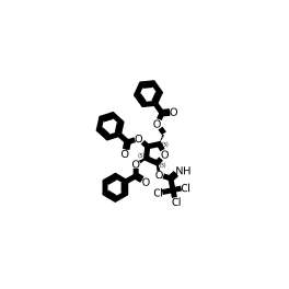 N=C(O[C@@H]1O[C@@H](COC(=O)c2ccccc2)C(OC(=O)c2ccccc2)[C@@H]1OC(=O)c1ccccc1)C(Cl)(Cl)Cl